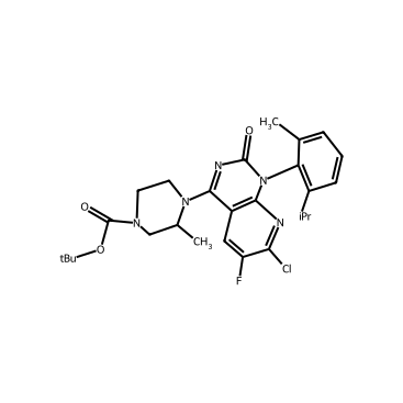 Cc1cccc(C(C)C)c1-n1c(=O)nc(N2CCN(C(=O)OC(C)(C)C)CC2C)c2cc(F)c(Cl)nc21